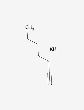 [C]#CCCCCC.[KH]